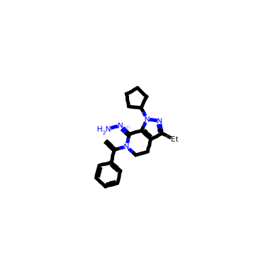 C=C(c1ccccc1)N1CCc2c(CC)nn(C3CCCC3)c2/C1=N/N